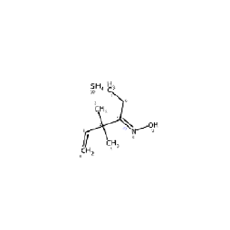 C=CC(C)(C)/C(CC)=N/O.[SiH4]